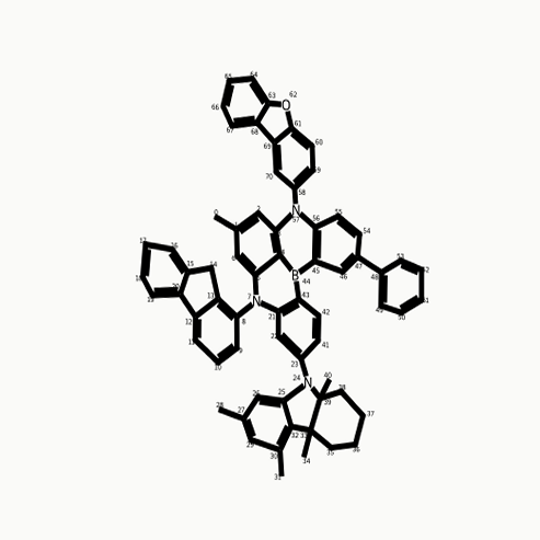 Cc1cc2c3c(c1)N(c1cccc4c1Cc1ccccc1-4)c1cc(N4c5cc(C)cc(C)c5C5(C)CCCCC45C)ccc1B3c1cc(-c3ccccc3)ccc1N2c1ccc2oc3ccccc3c2c1